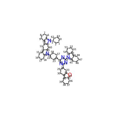 c1ccc(-n2c3ccccc3c3cc4c5ccccc5n(-c5ccc(-c6nc(-c7ccc8c(c7)oc7ccccc78)nc(-n7c8ccccc8c8ccccc87)n6)cc5)c4cc32)cc1